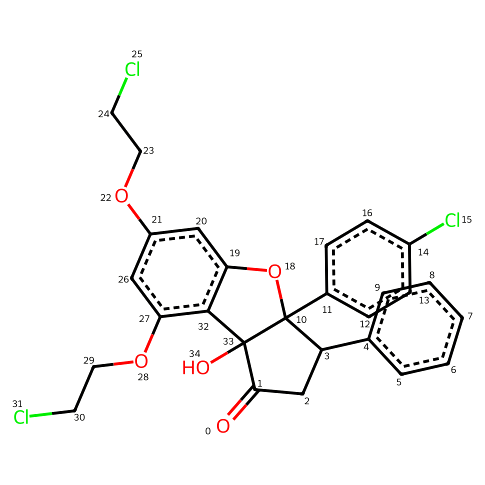 O=C1CC(c2ccccc2)C2(c3ccc(Cl)cc3)Oc3cc(OCCCl)cc(OCCCl)c3C12O